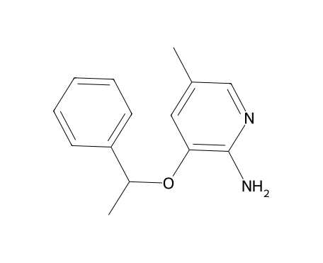 Cc1cnc(N)c(OC(C)c2ccccc2)c1